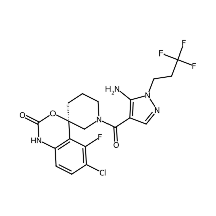 Nc1c(C(=O)N2CCC[C@@]3(C2)OC(=O)Nc2ccc(Cl)c(F)c23)cnn1CCC(F)(F)F